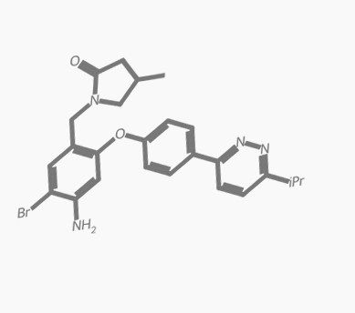 CC1CC(=O)N(Cc2cc(Br)c(N)cc2Oc2ccc(-c3ccc(C(C)C)nn3)cc2)C1